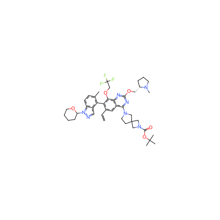 C=Cc1cc2c(N3CCC4(CN(C(=O)OC(C)(C)C)C4)C3)nc(OC[C@@H]3CCCN3C)nc2c(OCC(F)(F)F)c1-c1c(C)ccc2c1cnn2C1CCCCO1